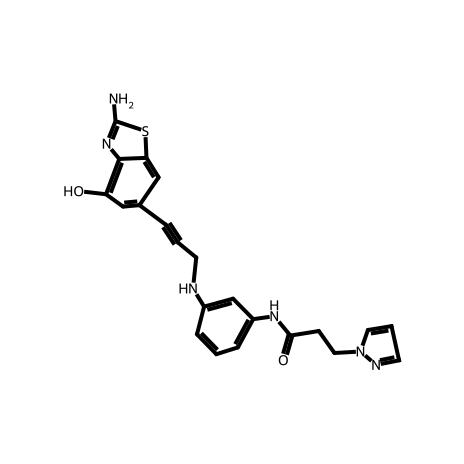 Nc1nc2c(O)cc(C#CCNc3cccc(NC(=O)CCn4cccn4)c3)cc2s1